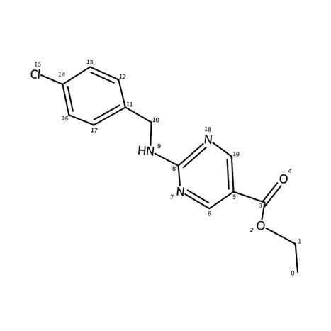 CCOC(=O)c1cnc(NCc2ccc(Cl)cc2)nc1